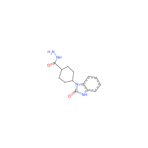 NNC(=O)C1CCC(n2c(=O)[nH]c3ccccc32)CC1